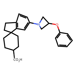 O=C(O)C1CCC2(CCc3ccc(N4CC(Oc5ccccc5)C4)cc32)CC1